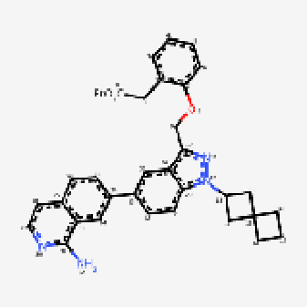 CCOC(=O)Cc1ccccc1OCc1nn(C2CC3(CCC3)C2)c2ccc(-c3ccc4ccnc(N)c4c3)cc12